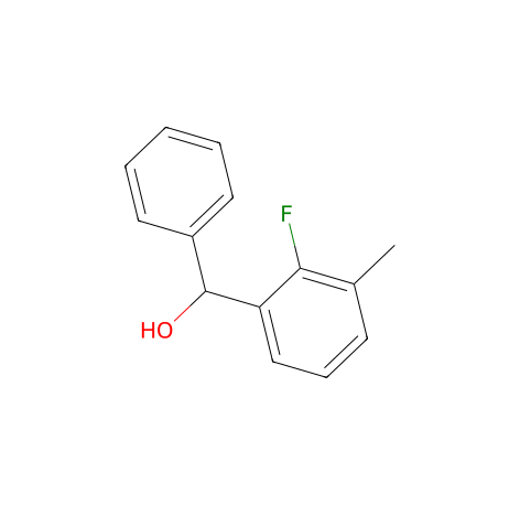 Cc1cccc(C(O)c2ccccc2)c1F